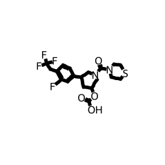 O=C(O)OC1CC(c2ccc(CC(F)(F)F)c(F)c2)CN(C(=O)N2CCSCC2)C1